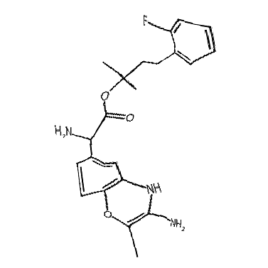 CC1=C(N)Nc2cc(C(N)C(=O)OC(C)(C)CCc3ccccc3F)ccc2O1